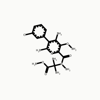 BOC(=O)C(B)(B)N(B)C(=O)c1nc(B)c(-c2cccc(Cl)c2)c(B)c1OB